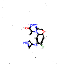 CC1C(=O)NN=C2COc3cc(Cl)c(NC4CNC4)cc3N21